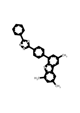 Cc1cc(C)c2sc3c(-c4ccc(-c5nnc(-c6ccccc6)o5)cc4)cc(C)cc3c2c1